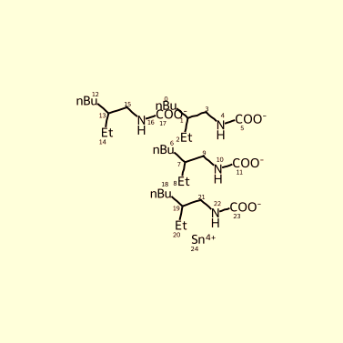 CCCCC(CC)CNC(=O)[O-].CCCCC(CC)CNC(=O)[O-].CCCCC(CC)CNC(=O)[O-].CCCCC(CC)CNC(=O)[O-].[Sn+4]